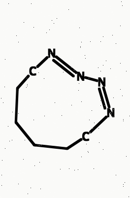 C1CCC/N=N/N=N\CC1